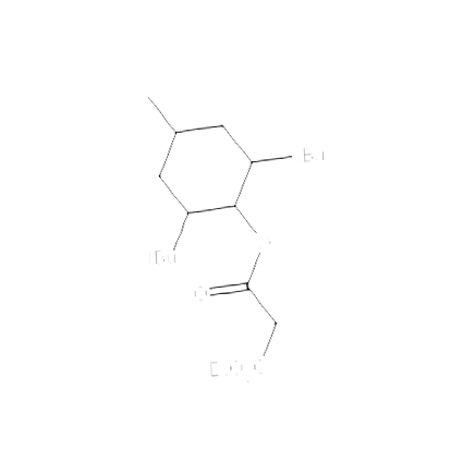 CCOC(=O)CC(=O)OC1C(C(C)(C)C)CC(C)CC1C(C)(C)C